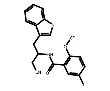 N#CCC(Cc1c[nH]c2ccccc12)NC(=O)c1cc(I)ccc1OC(F)(F)F